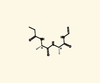 C=CNC(=O)[C@H](C)NC(=O)[C@H](C)NC(=O)CC